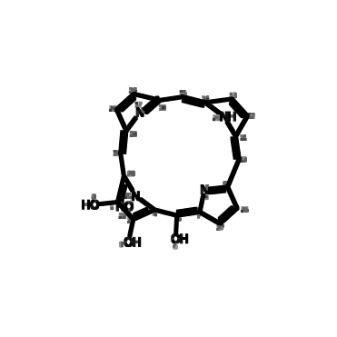 Oc1c(O)c2c(O)c3nc(cc4ccc(cc5nc(cc1n2O)C=C5)[nH]4)C=C3